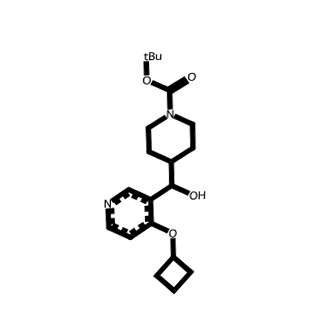 CC(C)(C)OC(=O)N1CCC(C(O)c2cnccc2OC2CCC2)CC1